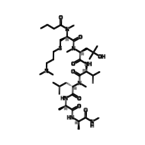 CCCC(=O)N(C)[C@H](CSCCCN(C)C)C(=O)N(C)[C@@H](CC(C)(C)O)C(=O)N[C@H](C(=O)N(C)[C@@H](CC(C)C)C(=O)N[C@H](C)C(=O)N[C@H](C)C(=O)NC)C(C)C